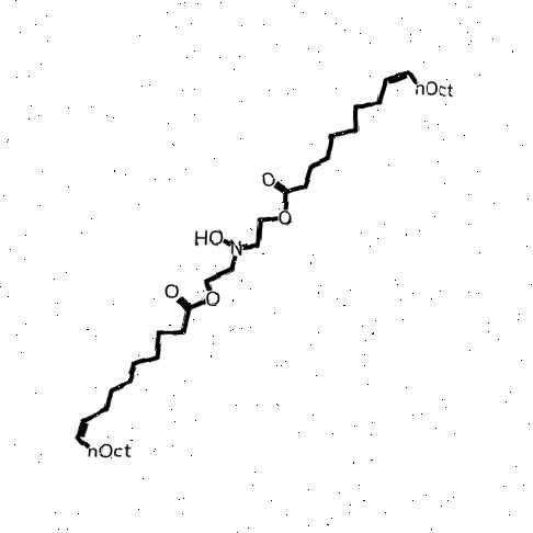 CCCCCCCC/C=C\CCCCCCCC(=O)OCCN(O)CCOC(=O)CCCCCCC/C=C\CCCCCCCC